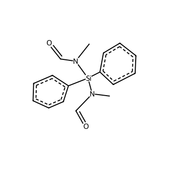 CN(C=O)[Si](c1ccccc1)(c1ccccc1)N(C)C=O